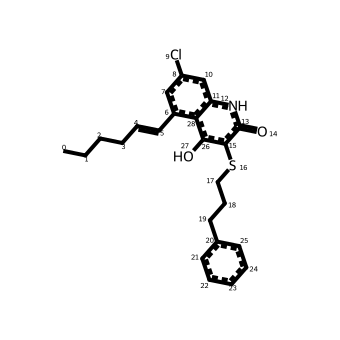 CCCC/C=C/c1cc(Cl)cc2[nH]c(=O)c(SCCCc3ccccc3)c(O)c12